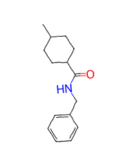 CC1CCC(C(=O)NCc2ccccc2)CC1